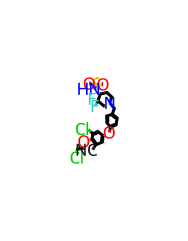 CS(=O)(=O)NC1CCN(Cc2ccc(Oc3cc(Cl)c(OCCCl)c(C#N)c3)cc2)CC1(F)F